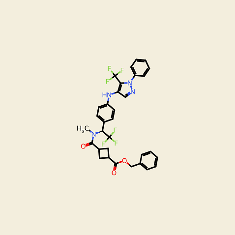 CN(C(=O)C1CC(C(=O)OCc2ccccc2)C1)[C@@H](c1ccc(Nc2cnn(-c3ccccc3)c2C(F)(F)F)cc1)C(F)(F)F